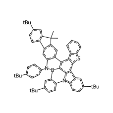 CC(C)(C)c1ccc(N2B3c4cc(C(C)(C)C)ccc4-n4c5ccc(C(C)(C)C)cc5c5c6sc7ccccc7c6c(c3c54)-c3cc4c(cc32)-c2ccc(C(C)(C)C)cc2C4(C)C)cc1